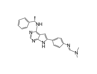 C[C@@H](Nc1ncnc2[nH]c(-c3ccc(N=CN(C)C)cc3)cc12)c1ccccc1